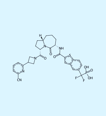 N#Cc1cccc(C2CN(C(=O)[C@@H]3CC[C@@H]4CCC[C@H](NC(=O)c5cc6cc(C(F)(F)P(=O)(O)O)ccc6s5)C(=O)N43)C2)n1